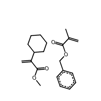 C=C(C(=O)OC)C1CCCCC1.C=C(C)C(=O)OCc1ccccc1